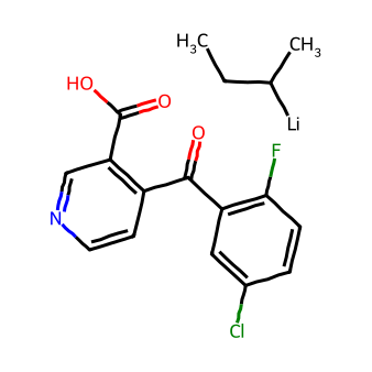 O=C(O)c1cnccc1C(=O)c1cc(Cl)ccc1F.[Li][CH](C)CC